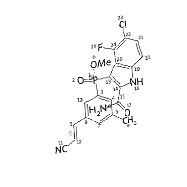 CO[P@@](=O)(c1cc(C)cc(/C=C/C#N)c1)c1c(C(N)=O)[nH]c2ccc(Cl)c(F)c12